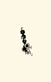 NC(=O)c1cc(CN(C(=O)O)C2C3CN(c4ccc(-c5ccc(F)cc5)cn4)CC32)on1